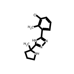 Cc1c(Cl)cccc1-c1nnc(C2(C)CCCN2)[nH]1